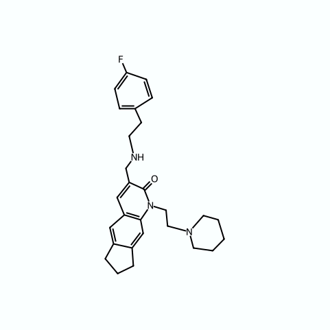 O=c1c(CNCCc2ccc(F)cc2)cc2cc3c(cc2n1CCN1CCCCC1)CCC3